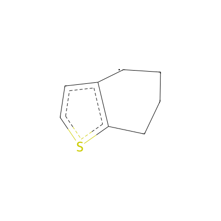 [CH]1CCCc2sccc21